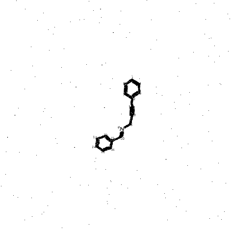 C(#Cc1ccccc1)CN=Cc1ccccc1